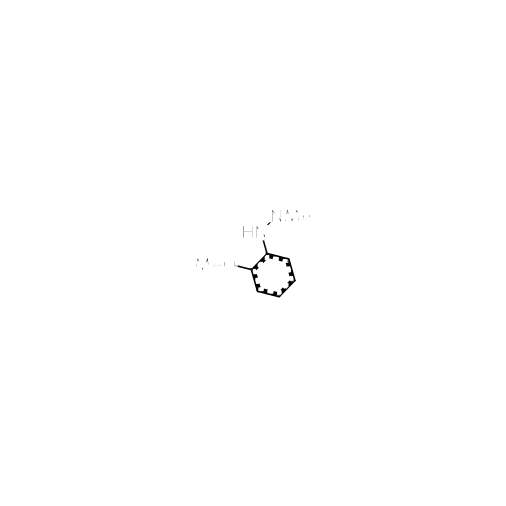 CNNc1ccccc1OC